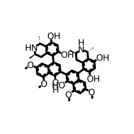 COc1cc(OC)c2c(O)c(-c3cc(-c4c(O)cc(O)c5c4C[C@@H](C)N[C@@H]5C)c4cc(OC)cc(OC)c4c3O)cc(-c3c(O)cc(O)c4c3C[C@@H](C)N[C@@H]4C)c2c1